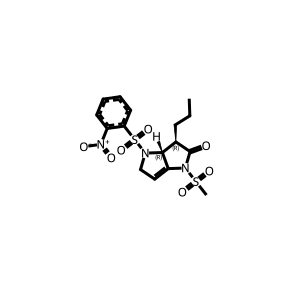 CCC[C@H]1C(=O)N(S(C)(=O)=O)C2=CCN(S(=O)(=O)c3ccccc3[N+](=O)[O-])[C@@H]21